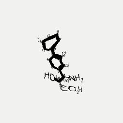 N[C@@H](c1ccc(-c2ccccc2)cc1)[C@@H](O)C(=O)O